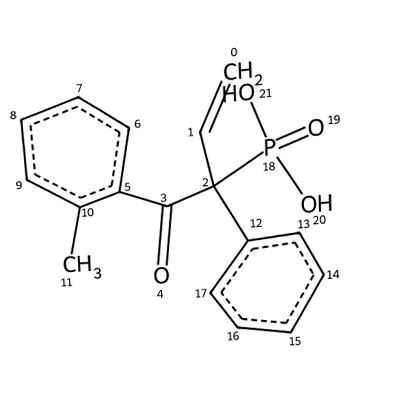 C=CC(C(=O)c1ccccc1C)(c1ccccc1)P(=O)(O)O